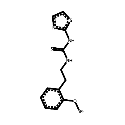 CC(C)Oc1ccccc1CCNC(=S)Nc1nccs1